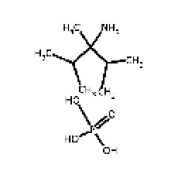 CC(C)C(C)(N)C(C)C.O=P(O)(O)O